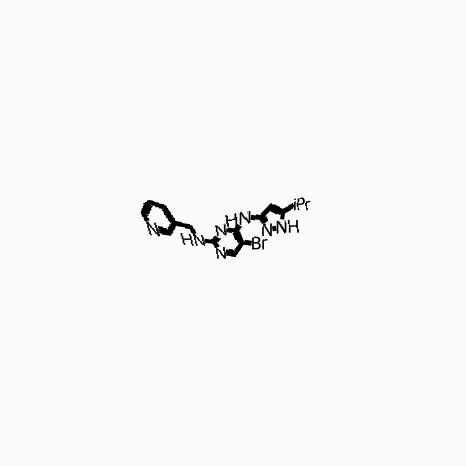 CC(C)c1cc(Nc2nc(NCc3cccnc3)ncc2Br)n[nH]1